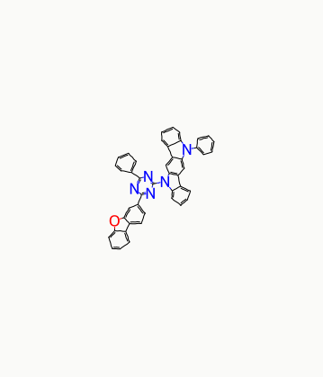 c1ccc(-c2nc(-c3ccc4c(c3)oc3ccccc34)nc(-n3c4ccccc4c4cc5c(cc43)c3ccccc3n5-c3ccccc3)n2)cc1